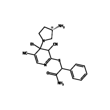 CCC1(N2CC[C@H](N)C2)C(C#N)=CN=C(SC(C(N)=O)c2ccccc2)C1C#N